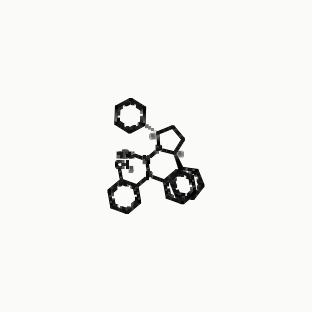 CCCCN(P(c1ccccc1)c1ccccc1C)P1[C@H](c2ccccc2)CC[C@H]1c1ccccc1